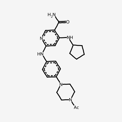 CC(=O)N1CCN(c2ccc(Nc3cc(NC4CCCC4)c(C(N)=O)cn3)cc2)CC1